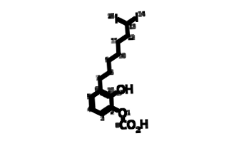 O=C(O)Oc1cccc(CCCCCCC(I)I)c1O